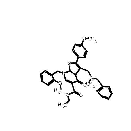 CCOC(=O)C1=CN(Cc2ccccc2OC)C2SC(c3ccc(OC)cc3)=C(CN(C)Cc3ccccc3)C2C1=O